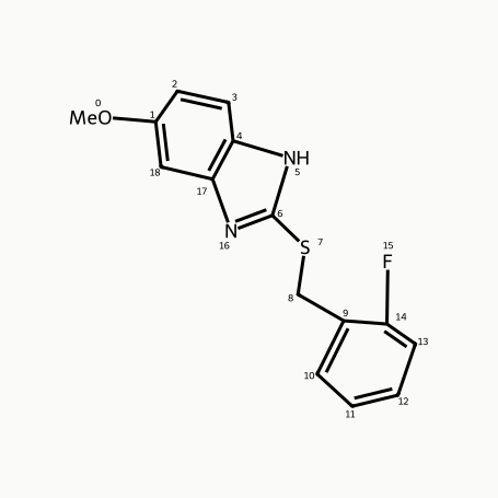 COc1ccc2[nH]c(SCc3ccccc3F)nc2c1